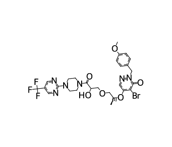 COc1ccc(Cn2ncc(O[C@@H](C)COCC(O)C(=O)N3CCN(c4ncc(C(F)(F)F)cn4)CC3)c(Br)c2=O)cc1